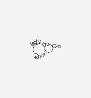 O=C1NS(=O)(=O)[C@H](CO)CC/C=C/[C@H](O)[C@@H]2CC[C@H]2CN2CCCCc3cc(Cl)ccc3COc3ccc1cc32